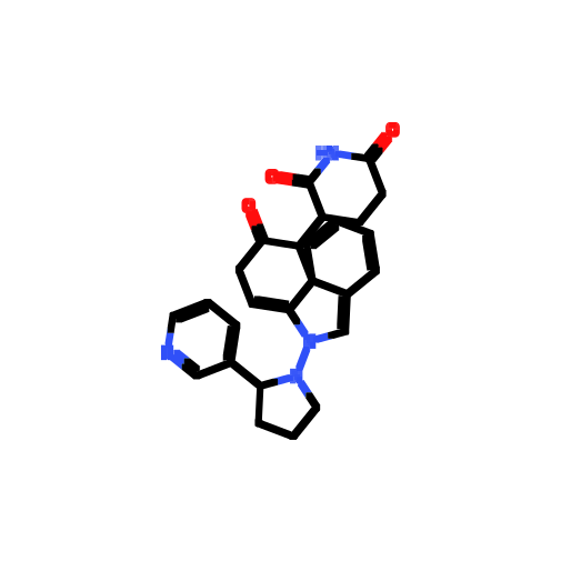 O=C1CCC(C2C(=O)CC=C3N(N4CCCC4c4cccnc4)C=C4C=CC=CC432)C(=O)N1